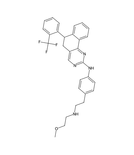 COCCNCCc1ccc(Nc2ncc3c(n2)-c2ccccc2C(c2ccccc2C(F)(F)F)C3)cc1